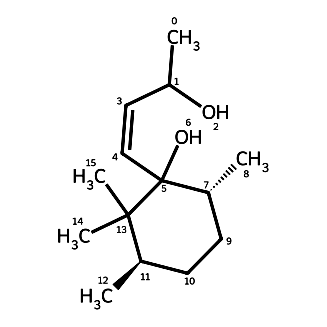 CC(O)/C=C\C1(O)[C@H](C)CC[C@@H](C)C1(C)C